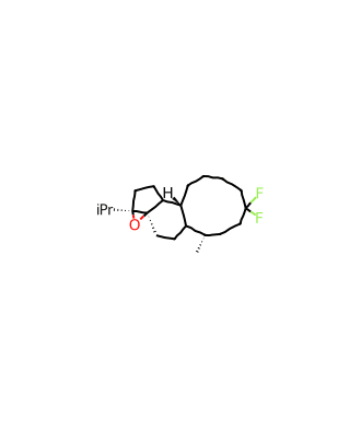 CC(C)[C@]12CCC3[C@@H]4CCCCC(F)(F)CC[C@H](C)C4CC[C@@]31O2